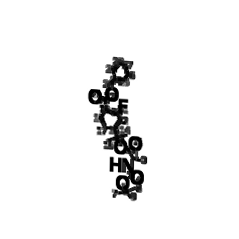 CC(NC(=O)OC(C)(C)C)C(=O)OC(C)(C)c1ccc(C(=O)OCc2ccccc2)c(F)c1